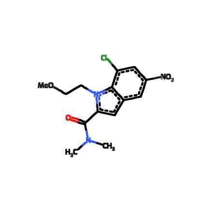 COCCn1c(C(=O)N(C)C)cc2cc([N+](=O)[O-])cc(Cl)c21